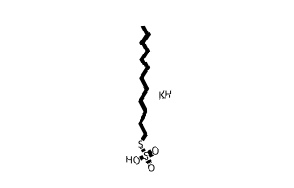 CCCCCCCCCCCCSS(=O)(=O)O.[KH]